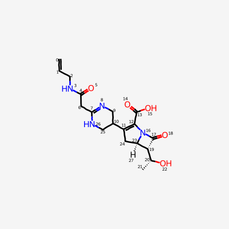 C=CCNC(=O)CC1=NCC(C2=C(C(=O)O)N3C(=O)[C@H]([C@@H](C)O)[C@H]3C2)CN1